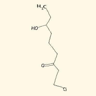 CCC(O)CCCC(=O)CCCl